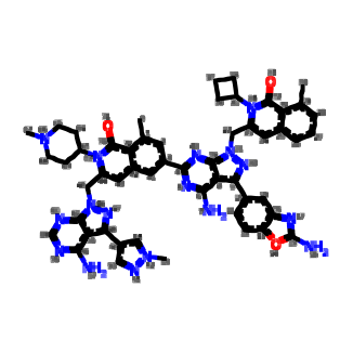 Cc1cc(-c2nc(N)c3c(-c4ccc5oc(N)nc5c4)nn(Cc4cc5cccc(C)c5c(=O)n4C4CCC4)c3n2)cc2cc(Cn3nc(-c4cnn(C)c4)c4c(N)ncnc43)n(C3CCN(C)CC3)c(=O)c12